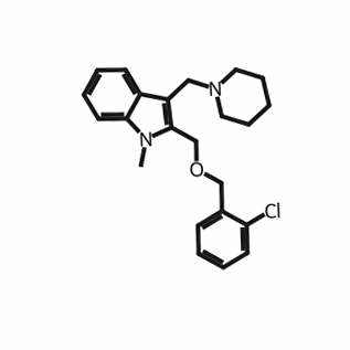 Cn1c(COCc2ccccc2Cl)c(CN2CCCCC2)c2ccccc21